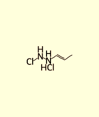 CC=CNNCl.Cl